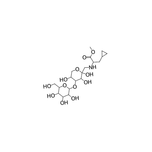 COC(=O)C(CC1CC1)NCC1(O)OCC(O)C(OC2OC(CO)C(O)C(O)C2O)C1O